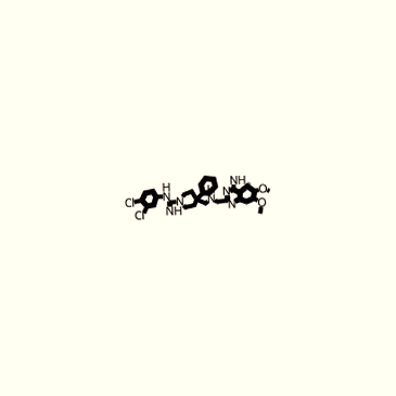 COc1cc2nc(CNCC3(c4ccccc4)CCN(C(=N)Nc4ccc(Cl)c(Cl)c4)CC3)nc(N)c2cc1OC